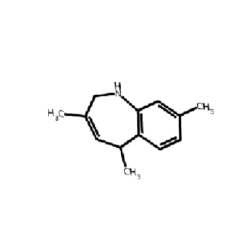 CC1=CC(C)c2ccc(C)cc2NC1